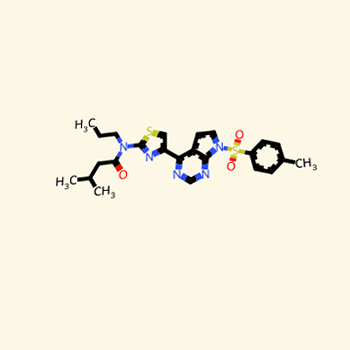 CCCN(C(=O)CC(C)C)c1nc(-c2ncnc3c2ccn3S(=O)(=O)c2ccc(C)cc2)cs1